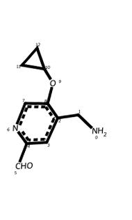 NCc1cc(C=O)ncc1OC1CC1